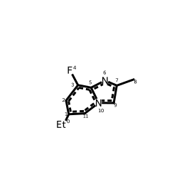 CCc1cc(F)c2nc(C)cn2c1